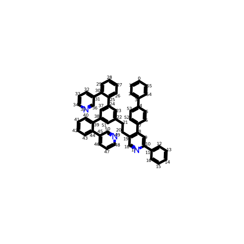 c1ccc(-c2ccc(-c3cc(-c4ccccc4)ncc3CCc3cc(-c4ccccc4-c4cccnc4)cc(-c4ccccc4-c4cccnc4)c3)cc2)cc1